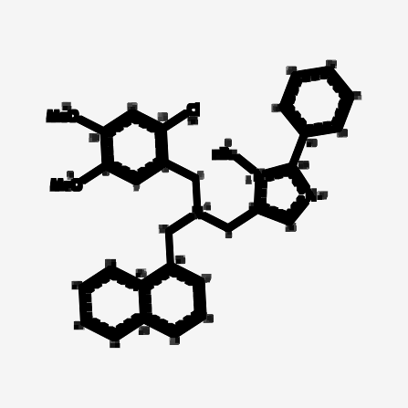 CCCCn1c(CN(Cc2cc(OC)c(OC)cc2Cl)Cc2cccc3ccccc23)cnc1-c1ccccc1